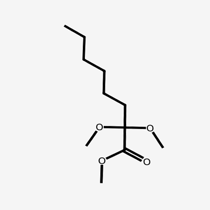 CCCCCCC(OC)(OC)C(=O)OC